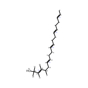 C/C=C/CC/C=C/CC/C=C/CC/C=C/CC(C)/C(C)=C(\C)C(C)(C)O